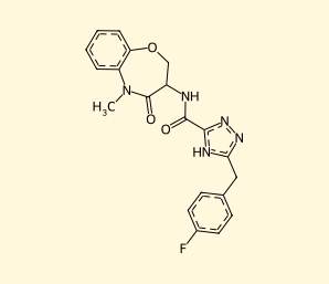 CN1C(=O)C(NC(=O)c2nnc(Cc3ccc(F)cc3)[nH]2)COc2ccccc21